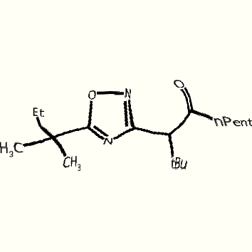 CCCCCC(=O)C(c1noc(C(C)(C)CC)n1)C(C)(C)C